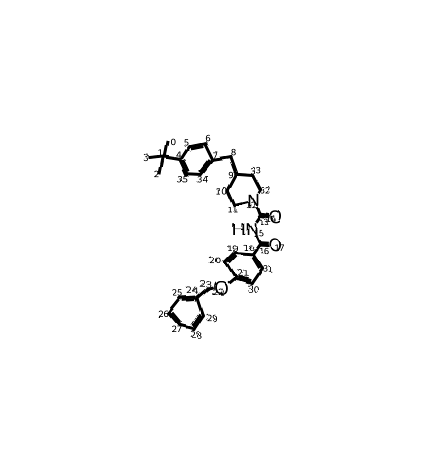 CC(C)(C)c1ccc(CC2CCN(C(=O)NC(=O)c3ccc(OCc4ccccc4)cc3)CC2)cc1